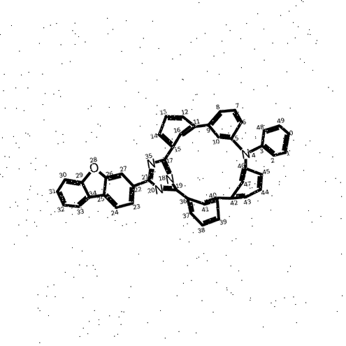 c1ccc(N2c3cccc(c3)-c3cccc(c3)-c3nc(nc(-c4ccc5c(c4)oc4ccccc45)n3)-c3cccc(c3)-c3cccc2c3)cc1